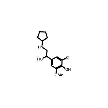 COc1cc(C(O)CNC2CCCC2)cc(Cl)c1O